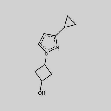 OC1CC(n2ccc(C3CC3)n2)C1